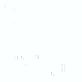 CCNC(=O)c1nccc2c1CN(C(C)/C(N)=C/C(C)=C\CCOCC(F)F)C2=O